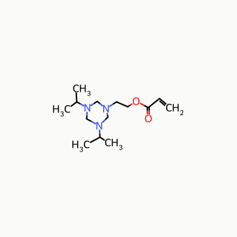 C=CC(=O)OCCN1CN(C(C)C)CN(C(C)C)C1